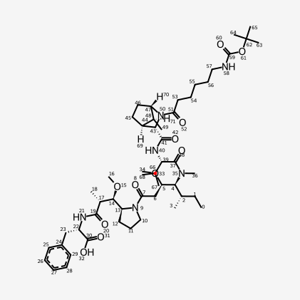 CC[C@H](C)[C@@H]([C@@H](CC(=O)N1CCC[C@H]1[C@H](OC)[C@@H](C)C(=O)N[C@@H](Cc1ccccc1)C(=O)O)OC)N(C)C(=O)[C@@H](NC(=O)[C@@H]1[C@H]2CC[C@@H]([C@H]2C)N1C(=O)CCCCCNC(=O)OC(C)(C)C)C(C)C